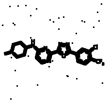 CN1CCC(Nc2ccnc(-c3nnc(-c4ccc(C(F)(F)F)c(Cl)c4)o3)n2)CC1